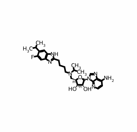 CC(C)c1cc2[nH]c(CCCCN(C[C@H]3O[C@@H](n4cnc5c(N)ccnc54)[C@H](O)[C@@H]3O)C(C)C)nc2cc1F